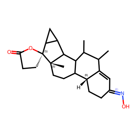 CC1C2=C/C(=N/O)CC[C@@H]2C2CC[C@@]3(C)C(C4CC4[C@@]34CCC(=O)O4)C2C1C